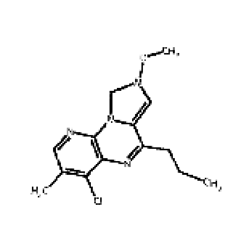 CCCC1=Nc2c(ncc(C)c2Cl)N2CN(OC)C=C12